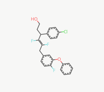 OCCC(/C(F)=C(\F)Cc1ccc(F)c(Oc2ccccc2)c1)c1ccc(Cl)cc1